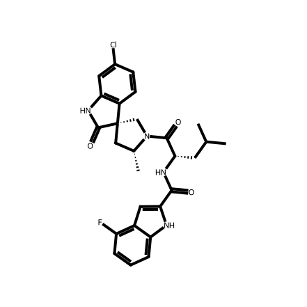 CC(C)C[C@H](NC(=O)c1cc2c(F)cccc2[nH]1)C(=O)N1C[C@]2(C[C@H]1C)C(=O)Nc1cc(Cl)ccc12